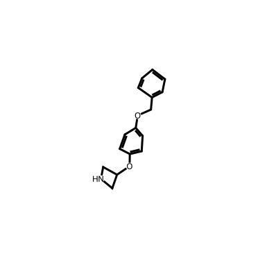 c1ccc(COc2ccc(OC3CNC3)cc2)cc1